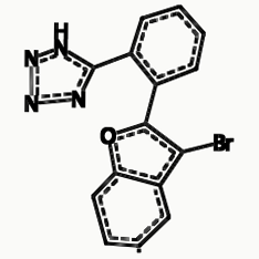 Brc1c(-c2ccccc2-c2nnn[nH]2)oc2cc[c]cc12